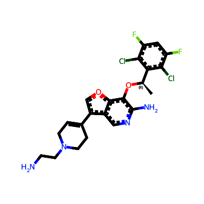 C[C@@H](Oc1c(N)ncc2c(C3=CCN(CCN)CC3)coc12)c1c(Cl)c(F)cc(F)c1Cl